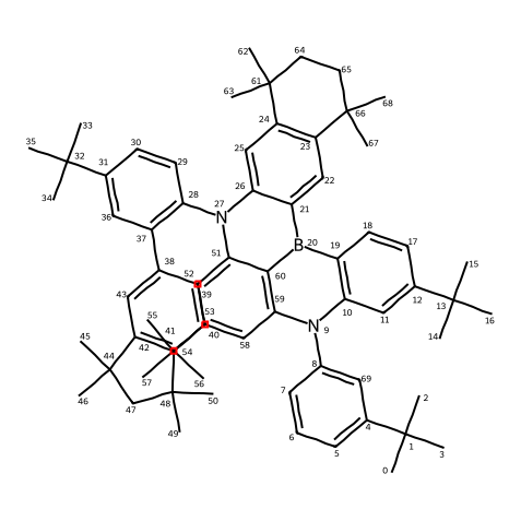 CC(C)(C)c1cccc(N2c3cc(C(C)(C)C)ccc3B3c4cc5c(cc4N(c4ccc(C(C)(C)C)cc4-c4ccc6c(c4)C(C)(C)CC6(C)C)c4cc(C(C)(C)C)cc2c43)C(C)(C)CCC5(C)C)c1